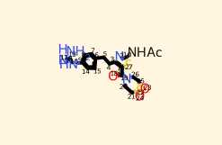 CC(=O)Nc1nc(CCc2ccc(NC(=N)N)cc2)c(C(=O)N2CCS(=O)(=O)CC2)s1